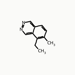 CCc1c(C)ccc2cnncc12